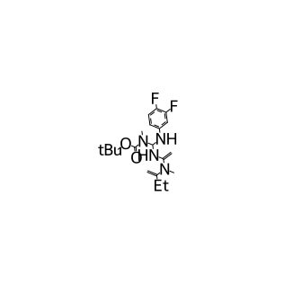 C=C(CC)N(C)C(=C)NC(Nc1ccc(F)c(F)c1)N(C)C(=O)OC(C)(C)C